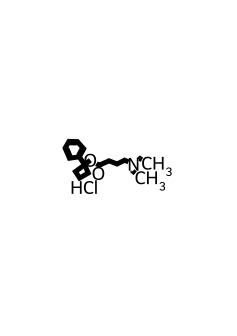 CCN(CC)CCCC(=O)OC1(c2ccccc2)CCC1.Cl